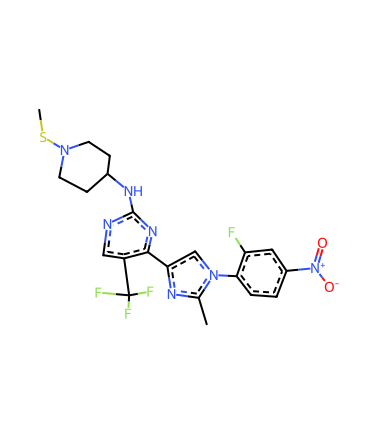 CSN1CCC(Nc2ncc(C(F)(F)F)c(-c3cn(-c4ccc([N+](=O)[O-])cc4F)c(C)n3)n2)CC1